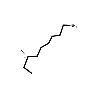 CC[C@H](C)CCCCCCN